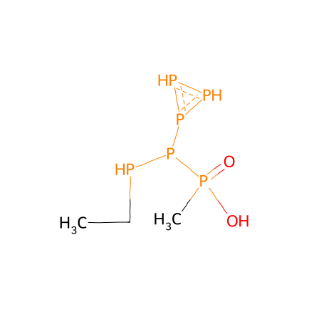 CCPP(p1[pH][pH]1)P(C)(=O)O